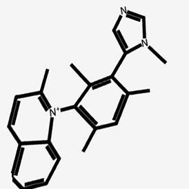 Cc1cc(C)c(-[n+]2c(C)ccc3ccccc32)c(C)c1-c1cncn1C